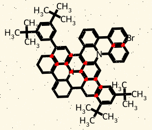 CC(C)(C)c1cc(-c2ccc(N(c3cc(-c4cc(C(C)(C)C)cc(C(C)(C)C)c4)cc(N(c4cccc(Br)c4)c4c(C5=CCCC=C5)cccc4-c4ccccc4)c3)C3C(C4=CCCCC4)=CCCC3C3CC=CCC3)cc2)cc(C(C)(C)C)c1